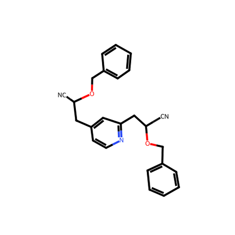 N#CC(Cc1ccnc(CC(C#N)OCc2ccccc2)c1)OCc1ccccc1